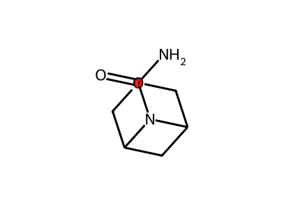 NC(=O)N1C2COCC1C2